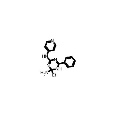 CCC1(N)N=C(Nc2ccncc2)N=C(c2ccccc2)N1